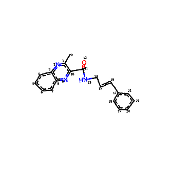 Cc1nc2ccccc2nc1C(=O)NC/C=C/c1ccccc1